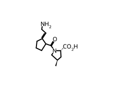 C[C@@H]1C[C@@H](C(=O)O)N(C(=O)C2CCC/C2=C\CN)C1